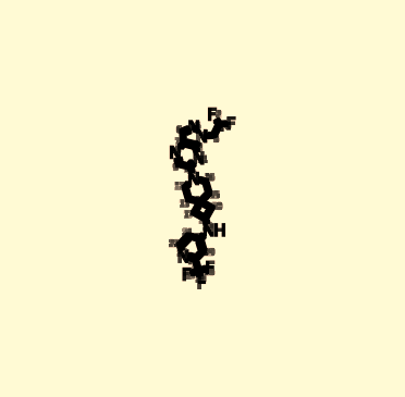 FC(F)Cn1ncc2ncc(N3CCC4(CC3)CC(Nc3ccnc(C(F)(F)F)c3)C4)nc21